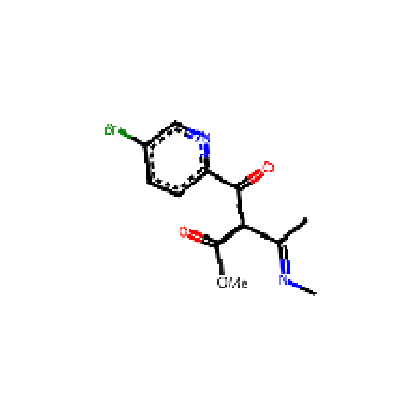 C/N=C(\C)C(C(=O)OC)C(=O)c1ccc(Br)cn1